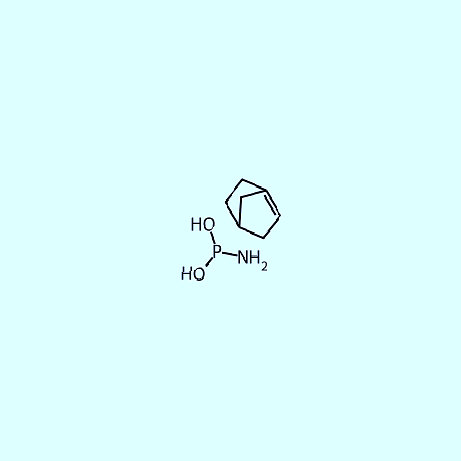 C1=C2CCC(C1)C2.NP(O)O